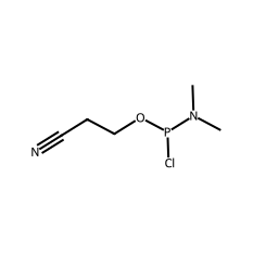 CN(C)P(Cl)OCCC#N